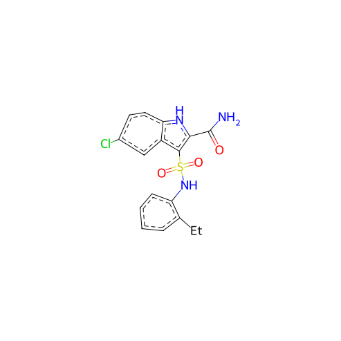 CCc1ccccc1NS(=O)(=O)c1c(C(N)=O)[nH]c2ccc(Cl)cc12